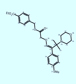 CCOC(=O)c1ccc(COC(=O)CO/N=C(/c2ccc(SC)cc2)C(C)(C)N2CCOCC2)cc1